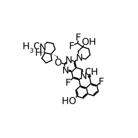 C#Cc1c(F)ccc2cc(O)cc(-c3ncc4c(N5CCCC(O)(C(F)F)C5)nc(OC[C@]56CCC[C@H]5N(C)CCC6)nc4c3F)c12